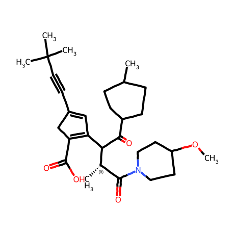 COC1CCN(C(=O)[C@H](C)C(C(=O)C2CCC(C)CC2)C2=C(C(=O)O)CC(C#CC(C)(C)C)=C2)CC1